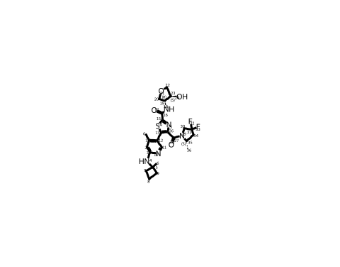 Cc1cc(NC2(C)CCC2)ncc1-c1sc(C(=O)N[C@@H]2COC[C@H]2O)nc1C(=O)N1CC(F)(F)C[C@@H]1C